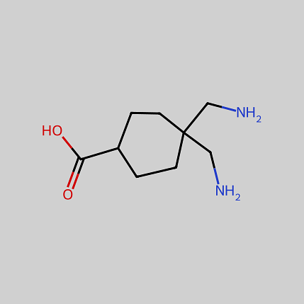 NCC1(CN)CCC(C(=O)O)CC1